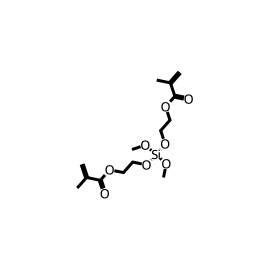 C=C(C)C(=O)OCCO[Si](OC)(OC)OCCOC(=O)C(=C)C